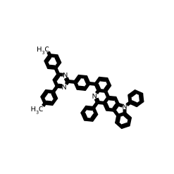 Cc1ccc(-c2cc(-c3ccc(C)cc3)nc(-c3ccc(-c4cccc5c4nc(-c4ccccc4)c4cc6c7ccccc7n(-c7ccccc7)c6cc45)cc3)n2)cc1